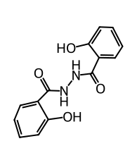 O=C(NNC(=O)c1ccccc1O)c1ccccc1O